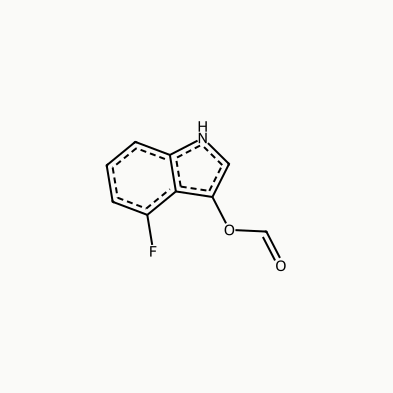 O=COc1c[nH]c2cccc(F)c12